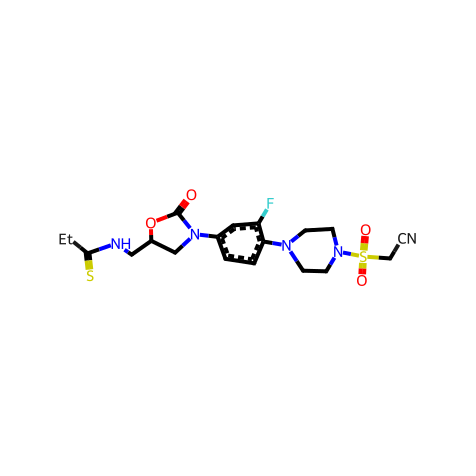 CCC(=S)NCC1CN(c2ccc(N3CCN(S(=O)(=O)CC#N)CC3)c(F)c2)C(=O)O1